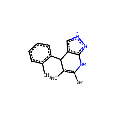 CCCC1=C(C#N)C(c2ccccc2C)c2c[nH]nc2N1